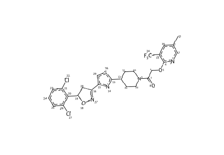 Cc1cnc(OCC(=O)N2CCC(c3nc(C4=NOC(c5c(Cl)cccc5Cl)C4)cs3)CC2)c(C(F)(F)F)c1